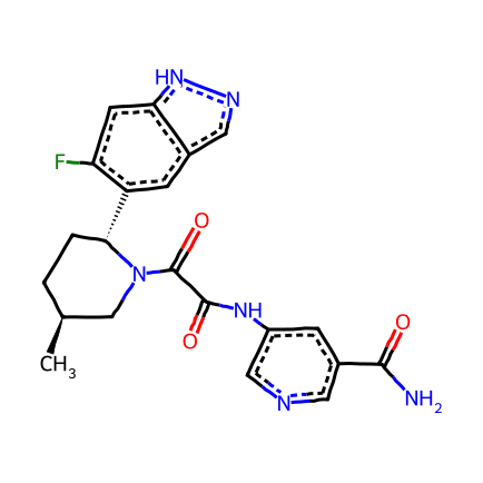 C[C@H]1CC[C@H](c2cc3cn[nH]c3cc2F)N(C(=O)C(=O)Nc2cncc(C(N)=O)c2)C1